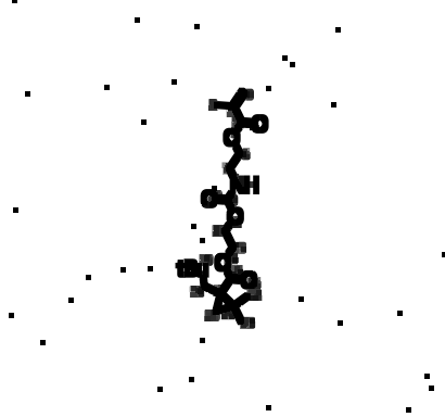 C=C(C)C(=O)OCCNC(=O)OCCOC(=O)C1(CC(C)(C)C)CC1(C)C